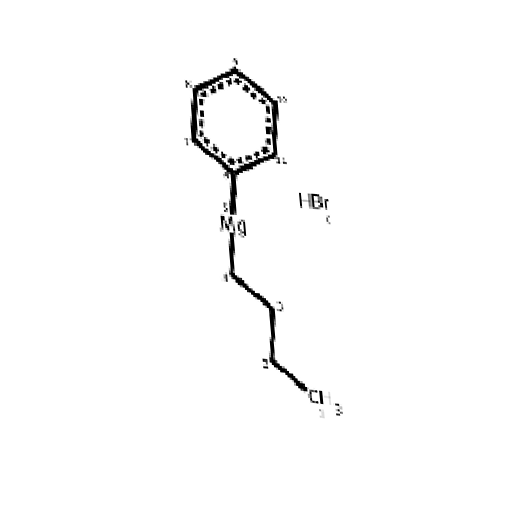 Br.CCC[CH2][Mg][c]1ccccc1